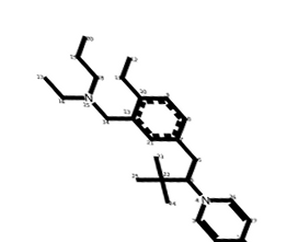 C=C1C=CN(C(Cc2ccc(CC)c(CN(CC)CCC)c2)C(C)(C)C)C=C1